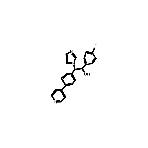 OC(c1ccc(F)cc1)C(c1ccc(-c2ccncc2)cc1)n1ccnc1